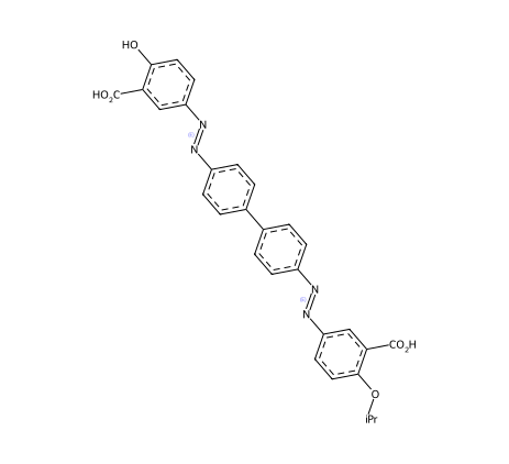 CC(C)Oc1ccc(/N=N/c2ccc(-c3ccc(/N=N/c4ccc(O)c(C(=O)O)c4)cc3)cc2)cc1C(=O)O